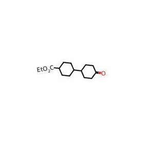 CCOC(=O)C1CCC(C2CCC(=O)CC2)CC1